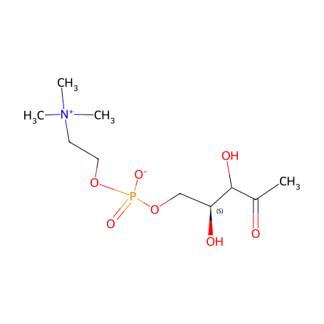 CC(=O)C(O)[C@@H](O)COP(=O)([O-])OCC[N+](C)(C)C